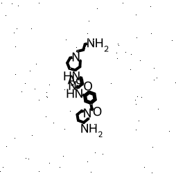 CC(=O)/N=C1/Nc2cc(C(=O)N3CCC[C@H](N)C3)ccc2O/C1=C/NC1CCCN(CCCN)CC1